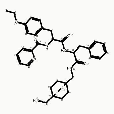 CCOc1ccc(CC(NC(=O)c2ccccn2)C(=O)NC(Cc2ccccc2)C(=O)NCC23CCC(CN)(CC2)CC3)cc1